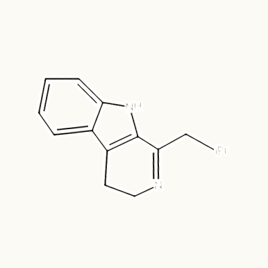 CC(C)CC1=NCCc2c1[nH]c1ccccc21